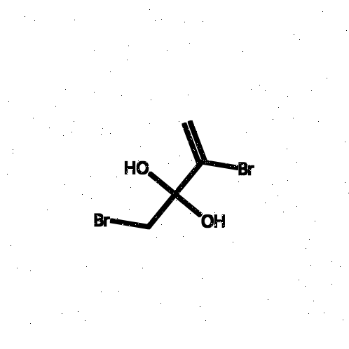 C=C(Br)C(O)(O)CBr